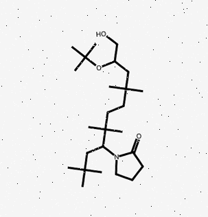 CC(C)(C)CC(N1CCCC1=O)C(C)(C)CCC(C)(C)CC(CO)OC(C)(C)C